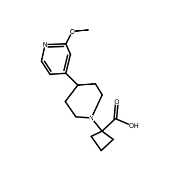 COc1cc(C2CCN(C3(C(=O)O)CCC3)CC2)ccn1